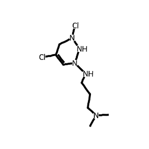 CN(C)CCCNN1C=C(Cl)CN(Cl)N1